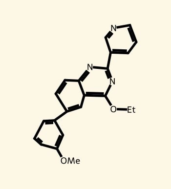 CCOc1nc(-c2cccnc2)nc2ccc(-c3cccc(OC)c3)cc12